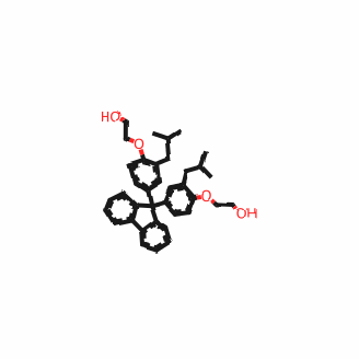 CC(C)Cc1cc(C2(c3ccc(OCCO)c(CC(C)C)c3)c3ccccc3-c3ccccc32)ccc1OCCO